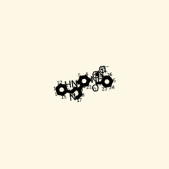 O=C(Nc1ccc2[nH]c3c(-c4ccccc4)nccc3c2c1)c1ccccc1[N+](=O)[O-]